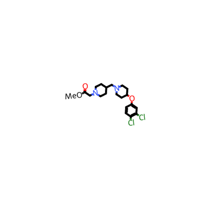 COC(=O)CN1CCC(CN2CCC(Oc3ccc(Cl)c(Cl)c3)CC2)CC1